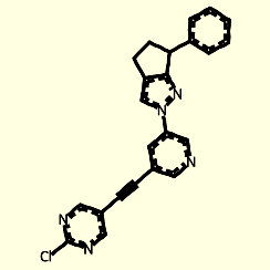 Clc1ncc(C#Cc2cncc(-n3cc4c(n3)C(c3ccccc3)CC4)c2)cn1